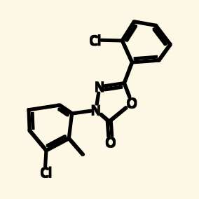 Cc1c(Cl)cccc1-n1nc(-c2ccccc2Cl)oc1=O